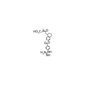 CN(CC(=O)O)C(=O)CC1CCCc2cc(OC(=O)c3ccc(NC(=N)N)cc3)ccc21